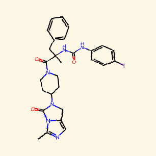 Cc1ncc2n1C(=O)N(C1CCN(C(=O)C(C)(Cc3ccccc3)NC(=O)Nc3ccc(I)cc3)CC1)C2